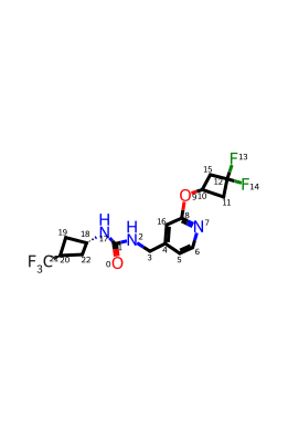 O=C(NCc1ccnc(OC2CC(F)(F)C2)c1)N[C@H]1C[C@H](C(F)(F)F)C1